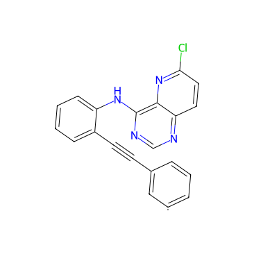 Clc1ccc2ncnc(Nc3ccccc3C#Cc3c[c]ccc3)c2n1